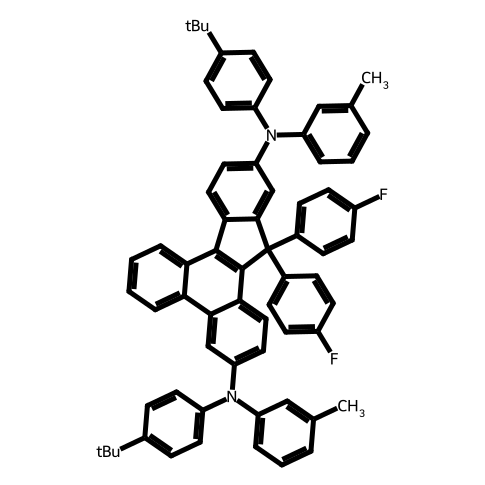 Cc1cccc(N(c2ccc(C(C)(C)C)cc2)c2ccc3c(c2)C(c2ccc(F)cc2)(c2ccc(F)cc2)c2c-3c3ccccc3c3cc(N(c4ccc(C(C)(C)C)cc4)c4cccc(C)c4)ccc23)c1